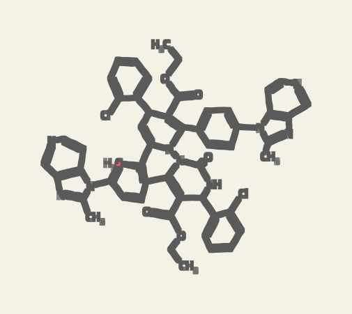 CCOC(=O)C1=C(c2ccc(-n3c(C)nc4cnccc43)cc2)N(N2C(=O)NC(c3ccccc3Cl)C(C(=O)OCC)=C2c2ccc(-n3c(C)nc4cnccc43)cc2)C(OC)=CC1c1ccccc1Cl